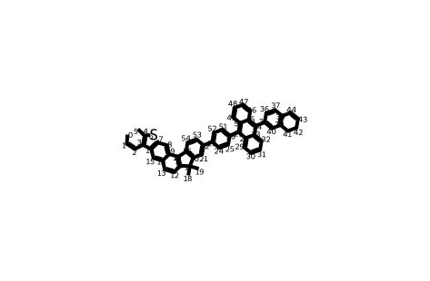 C/C=C\c1c(C)sc2cc3c4c(ccc3cc12)C(C)(C)c1cc(-c2ccc(-c3c5ccccc5c(-c5ccc6c(c5)CCC=C6)c5ccccc35)cc2)ccc1-4